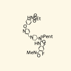 CCCCCN(C(=O)Nc1cc(C(=O)NC)c(F)cc1F)C1CCN(Cc2ccc(Oc3ccc(NS(=O)(=O)CC)cc3)nc2)CC1